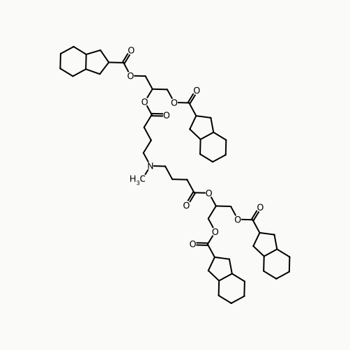 CN(CCCC(=O)OC(COC(=O)C1CC2CCCCC2C1)COC(=O)C1CC2CCCCC2C1)CCCC(=O)OC(COC(=O)C1CC2CCCCC2C1)COC(=O)C1CC2CCCCC2C1